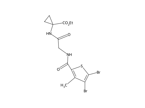 CCOC(=O)C1(NC(=O)CNC(=O)c2sc(Br)c(Br)c2C)CC1